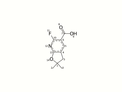 CC1(C)Cc2cc(C(=O)O)c(F)nc2O1